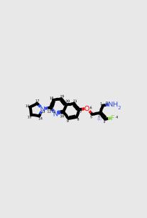 NC/C(=C\F)COc1ccc2nc(N3CCCC3)ccc2c1